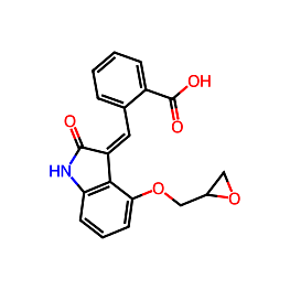 O=C1Nc2cccc(OCC3CO3)c2C1=Cc1ccccc1C(=O)O